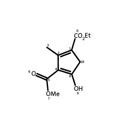 CCOC(=O)C1=C(C)C(C(=O)OC)=C(O)C1